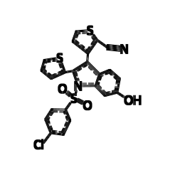 N#Cc1sccc1-c1c(-c2cccs2)n(S(=O)(=O)c2ccc(Cl)cc2)c2cc(O)ccc12